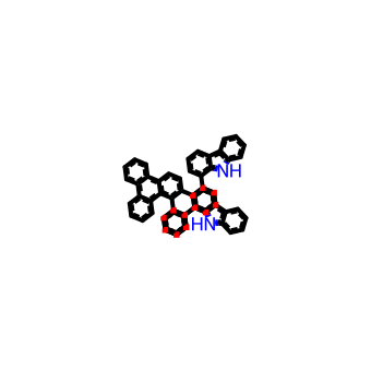 c1ccc(-c2cccc(-c3cccc4c3[nH]c3ccccc34)c2-c2ccc3c4ccccc4c4ccccc4c3c2-c2ccccc2-c2cccc3c2[nH]c2ccccc23)cc1